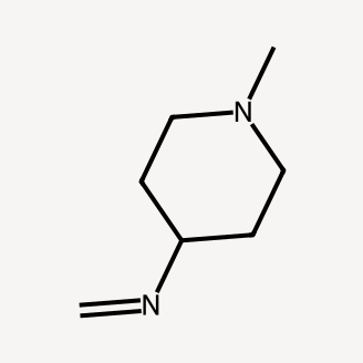 C=NC1CCN(C)CC1